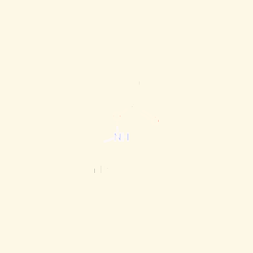 CCCCNOC(=O)CC